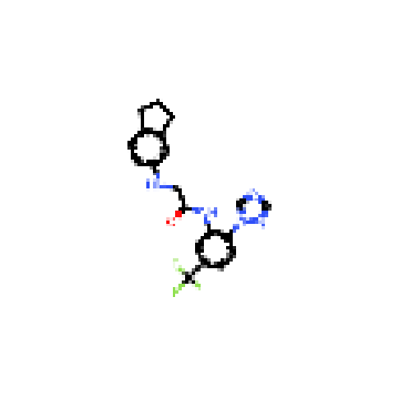 O=C(CNc1ccc2c(c1)CCC2)Nc1cc(C(F)(F)F)ccc1-n1cncn1